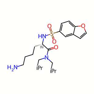 CC(C)CN(CC(C)C)C(=O)[C@H](CCCCN)NS(=O)(=O)c1ccc2occc2c1